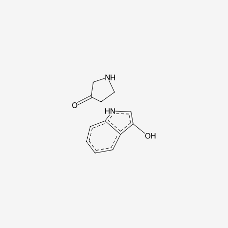 O=C1CCNC1.Oc1c[nH]c2ccccc12